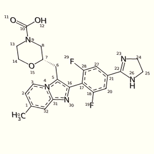 Cc1ccn2c(C[C@H]3CN(C(=O)O)CCO3)c(-c3c(F)cc(C4=NCCN4)cc3F)nc2c1